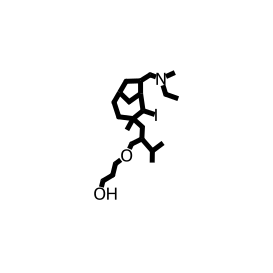 CCN(C)CC1CC2CCC(C)(CC(COCCCO)C(C)C)C(I)C1C2